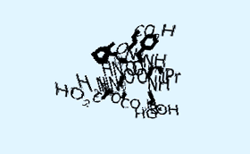 Cc1ccccc1C[C@H](NC(=O)[C@H](CCC(=O)O)NC(=O)[C@@H](N)CC(=O)O)C(=O)N(C(=O)CCC(=O)O)[C@H](C(=O)N[C@@H](CC(C)C)C(=O)NCCCB(O)O)C1CCCCC1